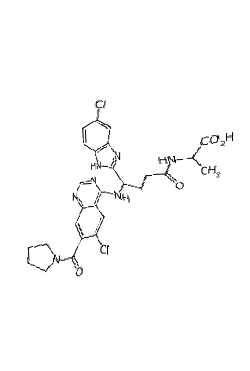 CC(NC(=O)CCC(Nc1ncnc2cc(C(=O)N3CCCC3)c(Cl)cc12)c1nc2cc(Cl)ccc2[nH]1)C(=O)O